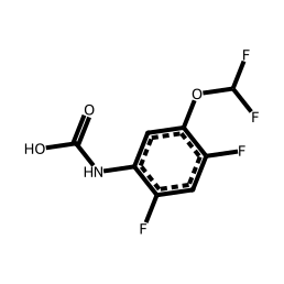 O=C(O)Nc1cc(OC(F)F)c(F)cc1F